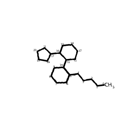 CCCCCC1CCCCC1[C]1CCCCC1C1CCCC1